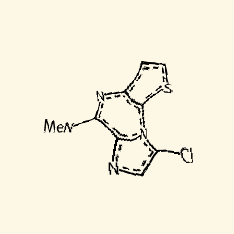 CNc1nc2ccsc2n2c(Cl)cnc12